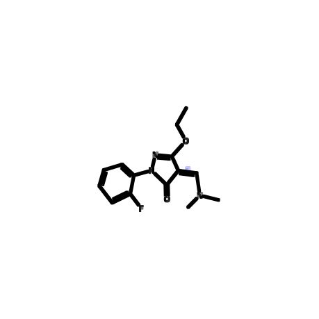 CCOC1=NN(c2ccccc2F)C(=O)/C1=C\N(C)C